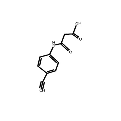 C#Cc1ccc(NC(=O)CC(=O)O)cc1